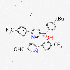 CC(C)(C)c1ccc([C@H](O)c2ccc(-c3ccc(C(F)(F)F)cc3)nc2)cc1.O=Cc1ccc(-c2ccc(C(F)(F)F)cc2)nc1